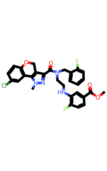 COC(=O)c1ccc(F)c(NCCN(Cc2ccccc2F)C(=O)c2nn(C)c3c2COc2ccc(Cl)cc2-3)c1